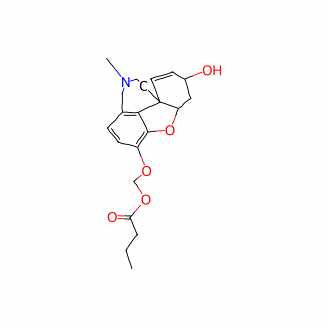 CCCC(=O)OCOc1ccc2c3c1OC1CC(O)C=CC31CCN(C)C2